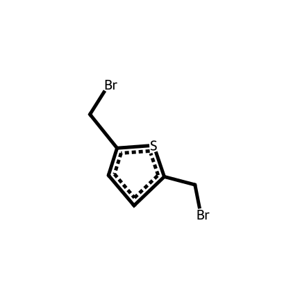 BrCc1ccc(CBr)s1